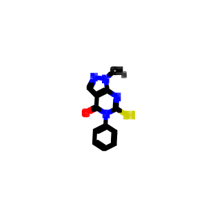 Cn1ncc2c(=O)n(-c3ccccc3)c(S)nc21